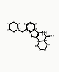 O=C1NC2=C(Cc3c(CN4CCCCC4)cccc32)C2CCCCC12